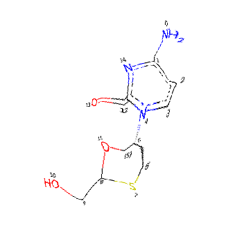 Nc1ccn([C@@H]2CSC(CO)O2)c(=O)n1